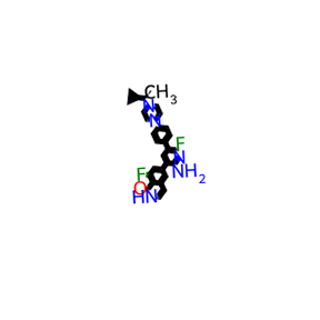 C[C@@H](C1CC1)N1CCN(c2ccc(-c3cc(-c4cc(F)c5c(=O)[nH]ccc5c4)c(N)nc3F)cc2)CC1